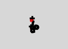 CC(C)(C)OCC#C[Si](c1ccccc1)(c1ccccc1)C(C)(C)C